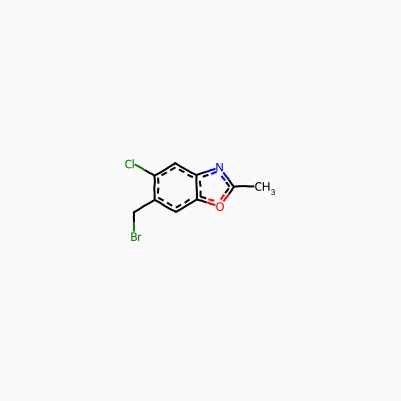 Cc1nc2cc(Cl)c(CBr)cc2o1